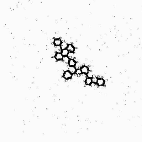 c1ccc(-c2oc3c(-c4cccc5c4oc4ccccc45)cccc3c2-c2ccc(-c3c4ccccc4c(-c4ccccc4)c4ccccc34)cc2)cc1